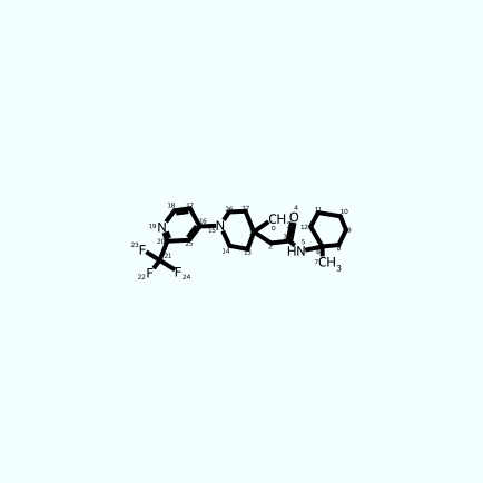 CC1(CC(=O)NC2(C)CCCCC2)CCN(c2ccnc(C(F)(F)F)c2)CC1